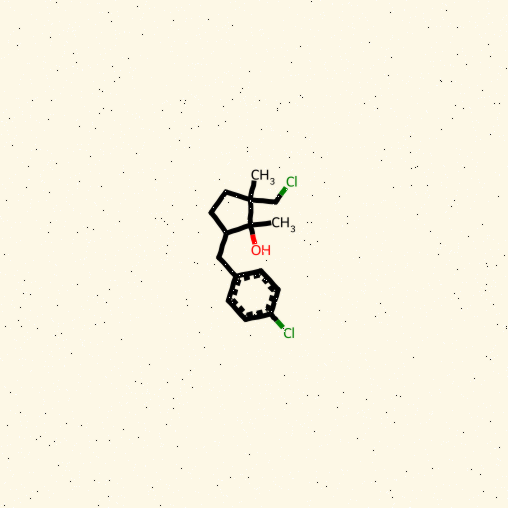 CC1(CCl)CCC(Cc2ccc(Cl)cc2)C1(C)O